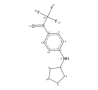 O=C(c1ccc(NC2CCCC2)cc1)C(F)(F)F